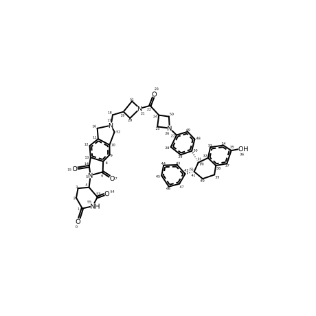 O=C1CCC(N2C(=O)c3cc4c(cc3C2=O)CN(CC2CN(C(=O)C3CN(c5ccc([C@@H]6c7ccc(O)cc7CC[C@@H]6c6ccccc6)cc5)C3)C2)C4)C(=O)N1